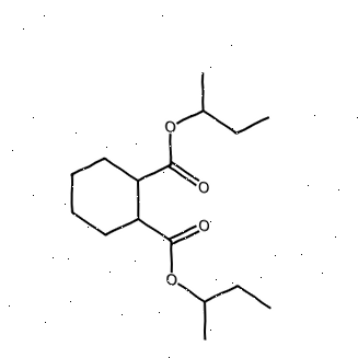 CCC(C)OC(=O)C1CCCCC1C(=O)OC(C)CC